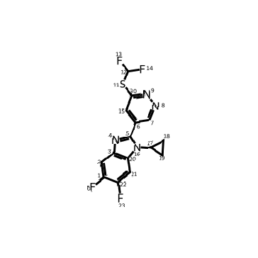 Fc1cc2nc(-c3cnnc(SC(F)F)c3)n(C3CC3)c2cc1F